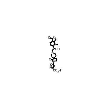 Cc1c(C(O)CN2CCC3(CC2)CCN(c2cc(C(=O)O)no2)C3=O)ccc2c1COC2=O